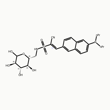 CCCN(CCC)c1ccc2cc(/C=C(\C#N)S(=O)(=O)NC[C@H]3OC(O)[C@H](O)[C@@H](O)[C@@H]3O)ccc2c1